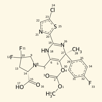 COC(=O)OC1=C(CN2CC(F)(F)C[C@H]2C(=O)O)NC(c2ncc(Cl)s2)=N[C@@]1(C)c1ccc(F)cc1